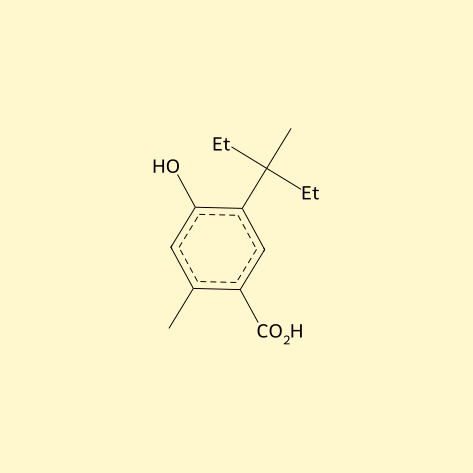 CCC(C)(CC)c1cc(C(=O)O)c(C)cc1O